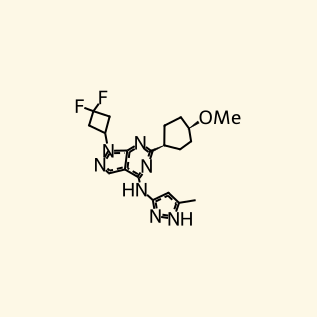 CO[C@H]1CC[C@@H](c2nc(Nc3cc(C)[nH]n3)c3cnn(C4CC(F)(F)C4)c3n2)CC1